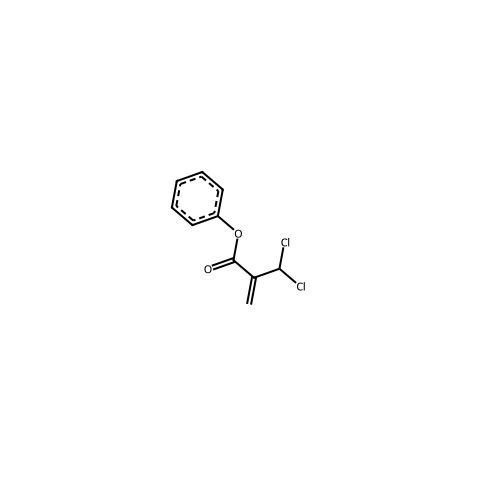 C=C(C(=O)Oc1ccccc1)C(Cl)Cl